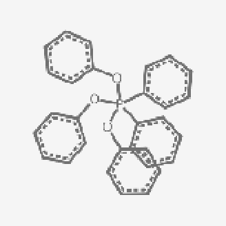 c1ccc(OP(Oc2ccccc2)(Oc2ccccc2)(c2ccccc2)c2ccccc2)cc1